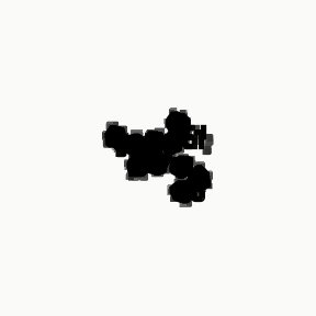 CC1(C)c2ccccc2-c2ccc(N(c3ccc(-c4cccc5oc6ccccc6c45)cc3)c3cccc4c3-c3ccccc3C43c4ccccc4-c4c3ccc3c4sc4ccccc43)cc21